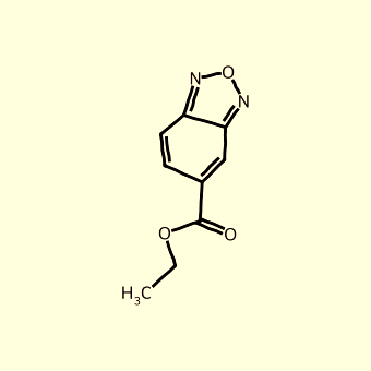 CCOC(=O)c1ccc2nonc2c1